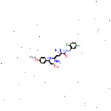 COc1ccc(C(CCO)N/C(N)=C/C=C(\N)C(=O)NCc2cc(F)ccc2F)cc1